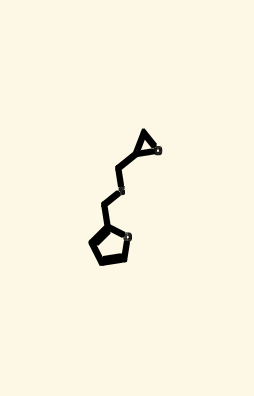 c1coc(CSCC2CO2)c1